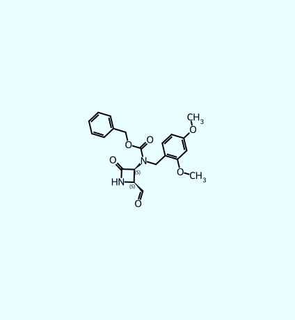 COc1ccc(CN(C(=O)OCc2ccccc2)[C@@H]2C(=O)N[C@@H]2C=O)c(OC)c1